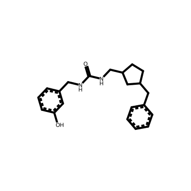 O=C(NCc1cccc(O)c1)NCC1CCC(Cc2ccccc2)C1